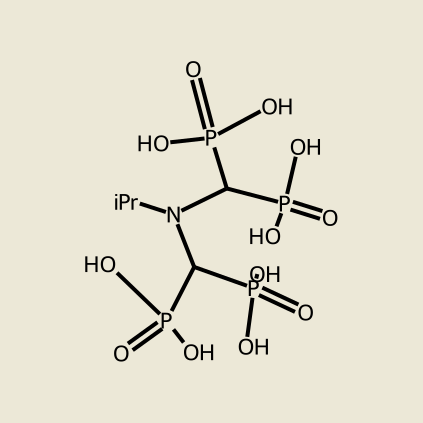 CC(C)N(C(P(=O)(O)O)P(=O)(O)O)C(P(=O)(O)O)P(=O)(O)O